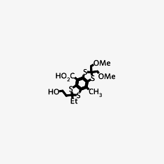 CCC1(CCO)Sc2c(C)c3c(c(C(=O)O)c2S1)SC(COC)(COC)S3